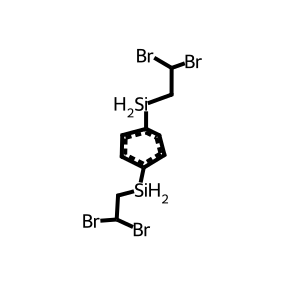 BrC(Br)C[SiH2]c1ccc([SiH2]CC(Br)Br)cc1